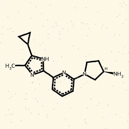 Cc1nc(-c2cccc(N3CC[C@@H](N)C3)n2)[nH]c1C1CC1